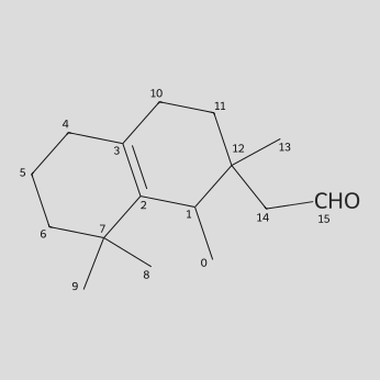 CC1C2=C(CCCC2(C)C)CCC1(C)CC=O